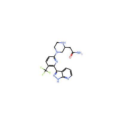 NC(=O)CC1CN(c2ccc(C(F)(F)F)c(-c3n[nH]c4ncccc34)n2)CCN1